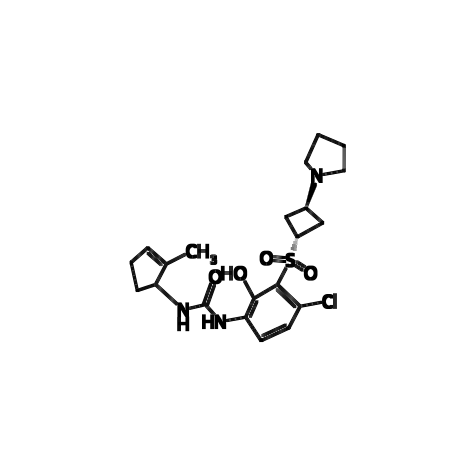 CC1=CCCC1NC(=O)Nc1ccc(Cl)c(S(=O)(=O)[C@H]2C[C@H](N3CCCC3)C2)c1O